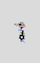 CC(C)(C)OC(=O)NCC(F)(F)c1ccc(N)cc1